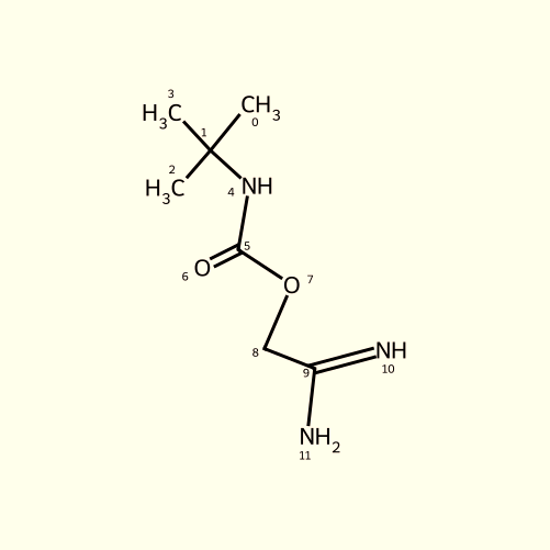 CC(C)(C)NC(=O)OCC(=N)N